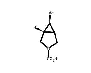 CC(=O)[C@H]1C2CN(C(=O)O)C[C@@H]21